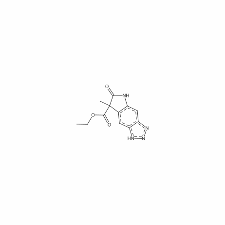 CCOC(=O)C1(C)C(=O)Nc2cc3nn[nH]c3cc21